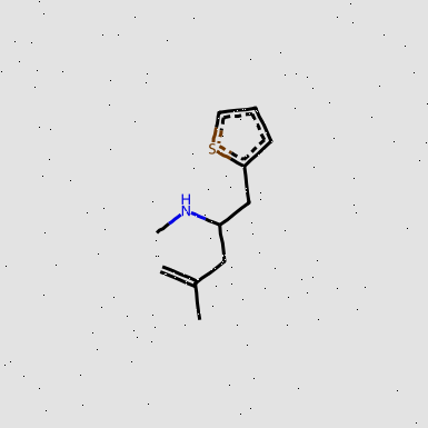 C=C(C)CC(Cc1cccs1)NC